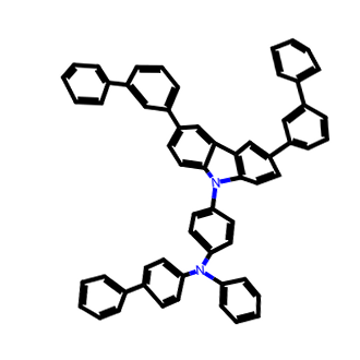 c1ccc(-c2ccc(N(c3ccccc3)c3ccc(-n4c5ccc(-c6cccc(-c7ccccc7)c6)cc5c5cc(-c6cccc(-c7ccccc7)c6)ccc54)cc3)cc2)cc1